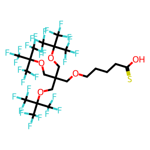 OC(=S)CCCCOCC(COC(C(F)(F)F)(C(F)(F)F)C(F)(F)F)(COC(C(F)(F)F)(C(F)(F)F)C(F)(F)F)COC(C(F)(F)F)(C(F)(F)F)C(F)(F)F